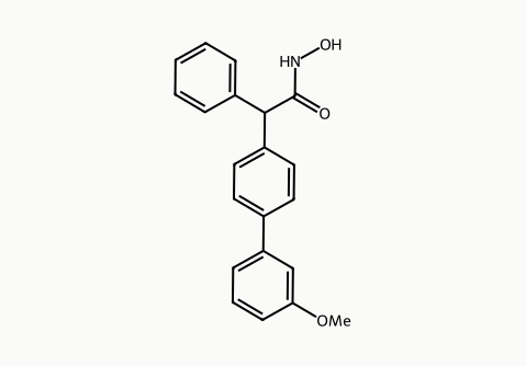 COc1cccc(-c2ccc(C(C(=O)NO)c3ccccc3)cc2)c1